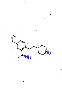 CC(=N)c1cc(CC(C)C)ccc1CCC1CCNCC1